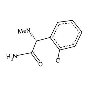 CN[C@@H](C(N)=O)c1ccccc1Cl